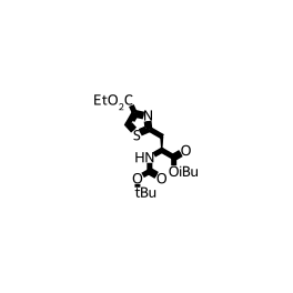 CCOC(=O)c1csc(C[C@H](NC(=O)OC(C)(C)C)C(=O)OCC(C)C)n1